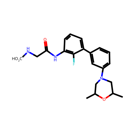 CC1CN(c2cccc(-c3cccc(NC(=O)CNC(=O)O)c3F)c2)CC(C)O1